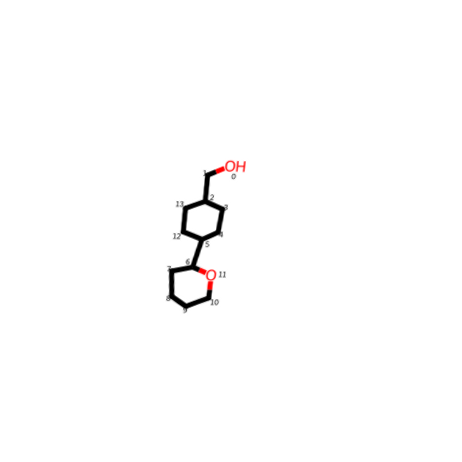 OCC1CCC(C2CCCCO2)CC1